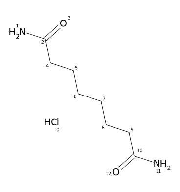 Cl.NC(=O)CCCCCCC(N)=O